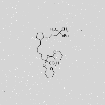 CCCCC(C)(C)CCC[C@H]1CCC[C@@H]1C/C=C\CCC(OC1CCCCO1)(OC1CCCCO1)C(=O)O